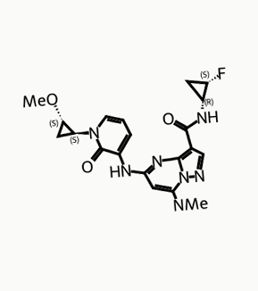 CNc1cc(Nc2cccn([C@H]3C[C@@H]3OC)c2=O)nc2c(C(=O)N[C@@H]3C[C@@H]3F)cnn12